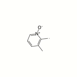 [CH2]c1c(C)ccc[n+]1[O-]